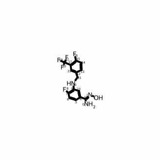 NC(=NO)c1ccc(F)c(NCc2ccc(F)c(C(F)(F)F)c2)c1